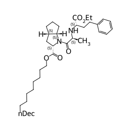 CCCCCCCCCCCCCCCCCCOC(=O)[C@@H]1C[C@@H]2CCC[C@@H]2N1C(=O)[C@H](C)N[C@@H](CCc1ccccc1)C(=O)OCC